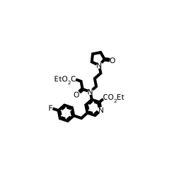 CCOC(=O)CC(=O)N(CCCN1CCCC1=O)c1cc(Cc2ccc(F)cc2)cnc1C(=O)OCC